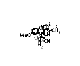 COc1ccc(C)c(-n2c(N)c(C#N)c3nc(C)c4c(ncn4C)c32)c1C